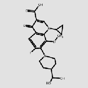 COc1c(N2CCC(C(O)O)CC2)c(F)cc2c(=O)c(C(=O)O)cn(C3CC3)c12